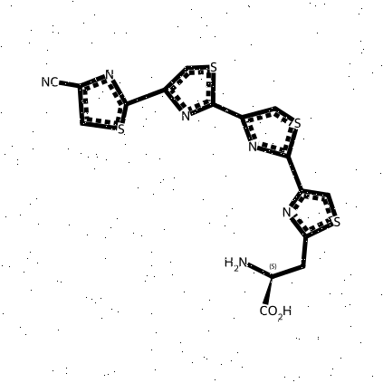 N#Cc1csc(-c2csc(-c3csc(-c4csc(C[C@H](N)C(=O)O)n4)n3)n2)n1